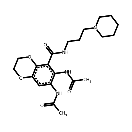 CC(=O)Nc1cc2c(c(C(=O)NCCCN3CCCCC3)c1NC(C)=O)OCCO2